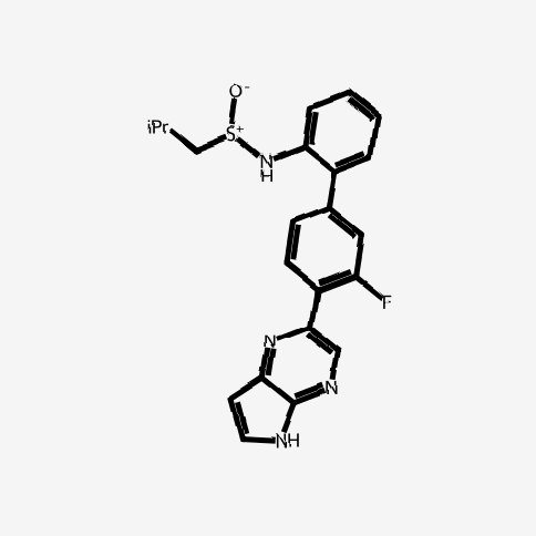 CC(C)C[S+]([O-])Nc1ccccc1-c1ccc(-c2cnc3[nH]ccc3n2)c(F)c1